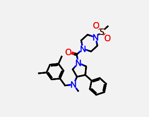 Cc1cc(C)cc(CN(C)C2CN(C(=O)N3CCN(S(C)(=O)=O)CC3)CC2c2ccccc2)c1